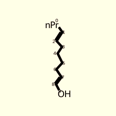 CCCC=CCCCCC=CO